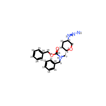 [N-]=[N+]=N[C@H]1[CH]O[C@H](CN(Cc2ccccc2)C(=O)OCc2ccccc2)CC1